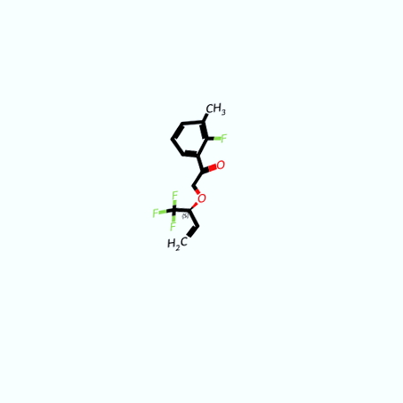 C=C[C@H](OCC(=O)c1cccc(C)c1F)C(F)(F)F